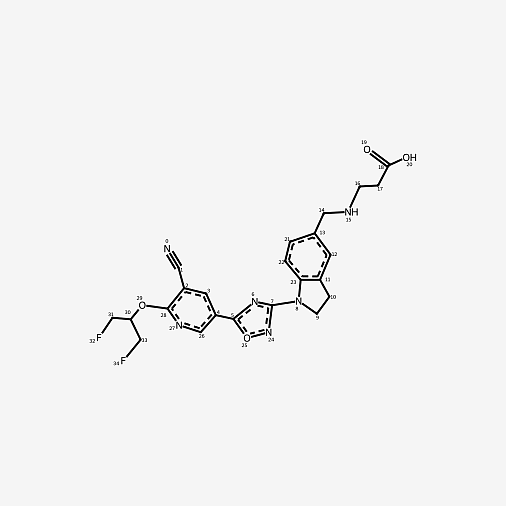 N#Cc1cc(-c2nc(N3CCc4cc(CNCCC(=O)O)ccc43)no2)cnc1OC(CF)CF